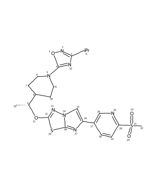 CC(C)c1noc(N2CCC([C@@H](C)Oc3nn4cc(-c5ccc(S(C)(=O)=O)nc5)nc4s3)CC2)n1